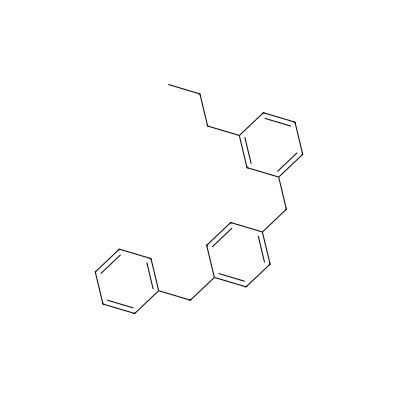 CCCc1cccc(Cc2ccc(Cc3ccccc3)cc2)c1